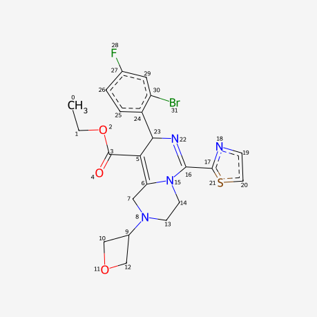 CCOC(=O)C1=C2CN(C3COC3)CCN2C(c2nccs2)=NC1c1ccc(F)cc1Br